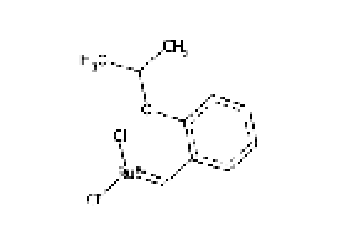 CC(C)Oc1ccccc1[CH]=[Ru-2]([Cl])[Cl]